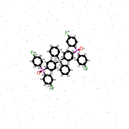 O=P(c1ccc(F)cc1)(c1ccc(F)cc1)c1ccc([Si](c2ccccc2)(c2ccccc2)c2ccc(P(=O)(c3ccc(F)cc3)c3ccc(F)cc3)cc2)cc1